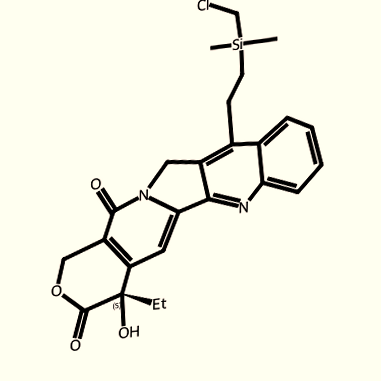 CC[C@@]1(O)C(=O)OCc2c1cc1n(c2=O)Cc2c-1nc1ccccc1c2CC[Si](C)(C)CCl